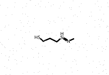 CN=[SiH]CCCS